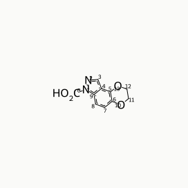 O=C(O)n1ncc2c3c(ccc21)OCCO3